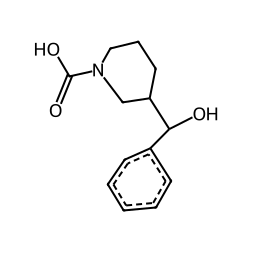 O=C(O)N1CCCC(C(O)c2ccccc2)C1